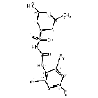 CC1CN(S(=O)(=O)NC(=O)Nc2c(C(C)C)cc(F)cc2C(C)C)CC(C)O1